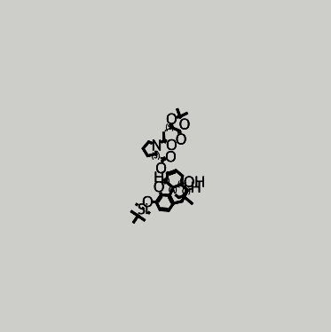 CC1CC[C@]23c4c5ccc(O[Si](C)(C)C(C)(C)C)c4O[C@H]2C(OC(=O)[C@@H]2CCCN2C(=O)C[C@@H]2OC(C)(C)OC2=O)=CC[C@@]3(O)[C@H]1C5